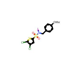 COc1ccc(CN(I)S(=O)(=O)c2cc(Cl)c(Cl)s2)cc1